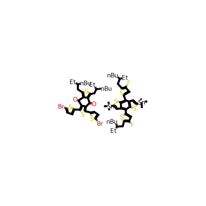 CCCCC(CC)Cc1sc(-c2c3c[c]([Sn]([CH3])([CH3])[CH3])sc3c(-c3cc(F)c(CC(CC)CCCC)s3)c3c[c]([Sn]([CH3])([CH3])[CH3])sc23)cc1F.CCCCC(CC)Cc1sc(CC(CC)CCCC)c2c1C(=O)c1c(-c3ccc(Br)s3)sc(-c3ccc(Br)s3)c1C2=O